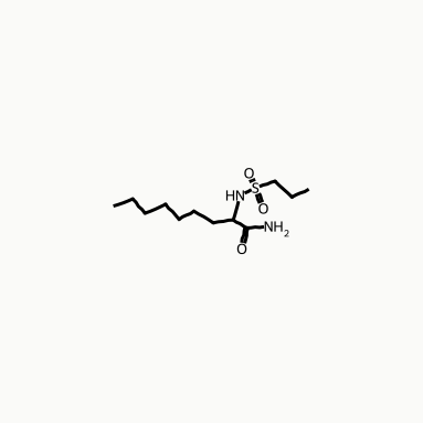 CCCCCCCC(NS(=O)(=O)CCC)C(N)=O